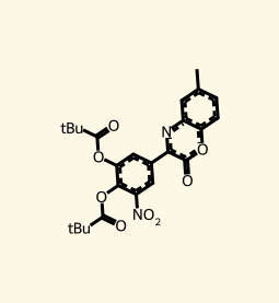 Cc1ccc2oc(=O)c(-c3cc(OC(=O)C(C)(C)C)c(OC(=O)C(C)(C)C)c([N+](=O)[O-])c3)nc2c1